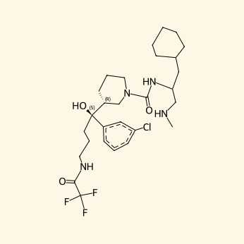 CNCC(CC1CCCCC1)NC(=O)N1CCC[C@@H]([C@@](O)(CCCNC(=O)C(F)(F)F)c2cccc(Cl)c2)C1